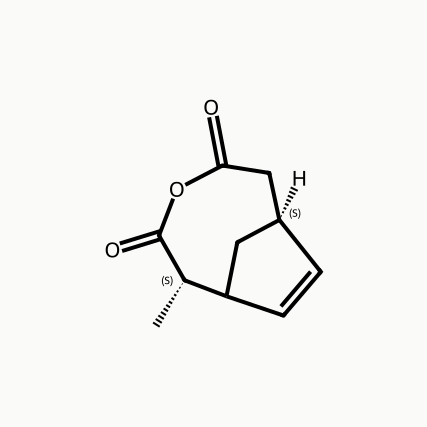 C[C@@H]1C(=O)OC(=O)C[C@H]2C=CC1C2